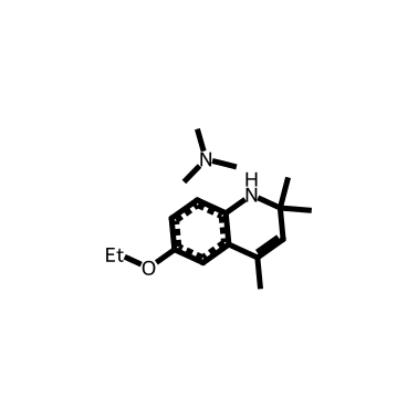 CCOc1ccc2c(c1)C(C)=CC(C)(C)N2.CN(C)C